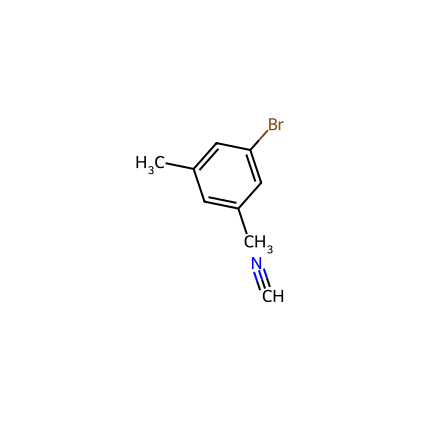 C#N.Cc1cc(C)cc(Br)c1